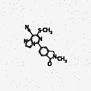 CSc1nc(-c2ccc3c(c2)CN(C)C3=O)n2ccnc2c1C#N